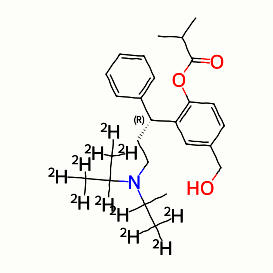 [2H]C([2H])([2H])C([2H])(C)N(CC[C@H](c1ccccc1)c1cc(CO)ccc1OC(=O)C(C)C)C([2H])(C([2H])([2H])[2H])C([2H])([2H])[2H]